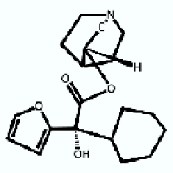 O=C(O[C@H]1CN2CCC1CC2)[C@](O)(c1ccco1)C1CCCCC1